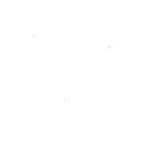 Cc1ccc(C(C)C)c(-c2ccccc2)c2c(C)ccc1-2.[LiH]